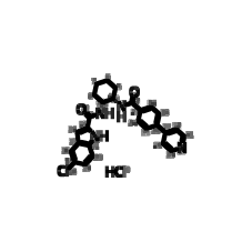 Cl.O=C(N[C@H]1CCCC[C@H]1NC(=O)c1cc2cc(Cl)ccc2[nH]1)c1ccc(-c2ccncc2)cc1